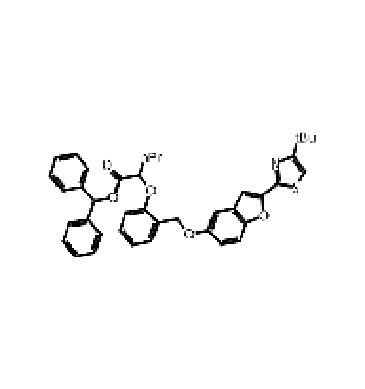 CCCC(Oc1ccccc1COc1ccc2oc(-c3nc(C(C)(C)C)cs3)cc2c1)C(=O)OC(c1ccccc1)c1ccccc1